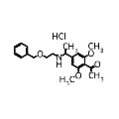 COc1cc(C(C)NCCOCc2ccccc2)cc(OC)c1C(C)=O.Cl